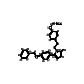 CCCCCCOc1ccc(CCn2c(C)ccc2-c2ccc(OCc3ccccc3)cc2)cc1